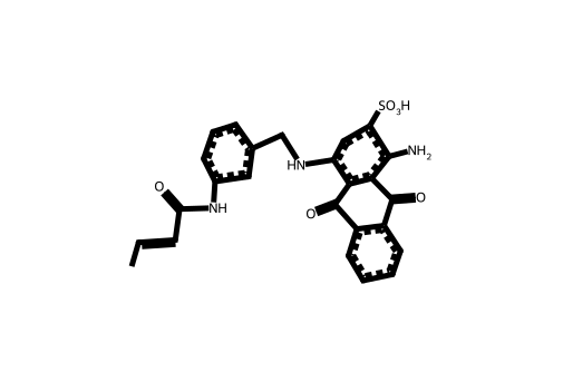 CC=CC(=O)Nc1cccc(CNc2cc(S(=O)(=O)O)c(N)c3c2C(=O)c2ccccc2C3=O)c1